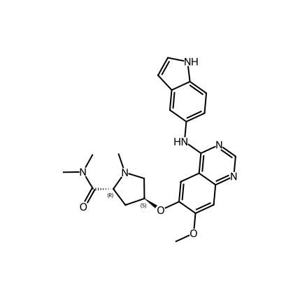 COc1cc2ncnc(Nc3ccc4[nH]ccc4c3)c2cc1O[C@H]1C[C@H](C(=O)N(C)C)N(C)C1